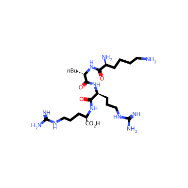 CCCC[C@H](NC(=O)[C@@H](N)CCCCN)C(=O)N[C@@H](CCCNC(=N)N)C(=O)N[C@@H](CCCNC(=N)N)C(=O)O